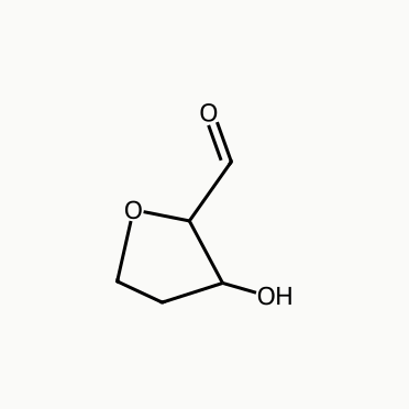 O=CC1OCCC1O